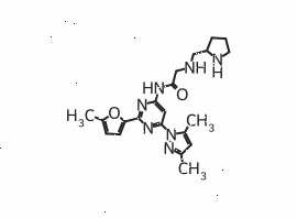 Cc1cc(C)n(-c2cc(NC(=O)CNCC3CCCN3)nc(-c3ccc(C)o3)n2)n1